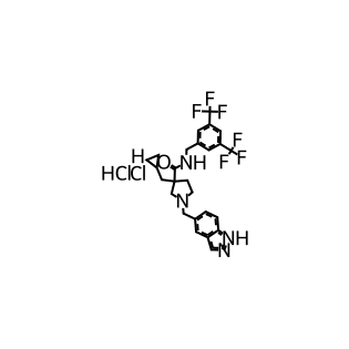 Cl.Cl.O=C(NCc1cc(C(F)(F)F)cc(C(F)(F)F)c1)C1(CC2CC2)CCN(Cc2ccc3[nH]ncc3c2)C1